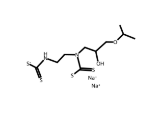 CC(C)OCC(O)CN(CCNC(=S)[S-])C(=S)[S-].[Na+].[Na+]